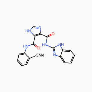 CSc1ccccc1NC(=O)c1[nH]cnc1C(=O)Nc1nc2ccccc2[nH]1